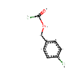 O=C(Cl)OCc1ccc(Cl)cc1